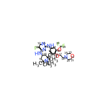 CN1C(C)(C)CC(Nc2nc(Nc3ccc(OCCN4CCOCC4)c(OC(F)F)c3)ncc2F)CC1(C)C